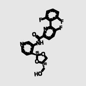 O=C(Nc1cnccc1[C@H]1OC[C@H](CO)O1)c1ccc(F)c(-c2c(F)cccc2F)n1